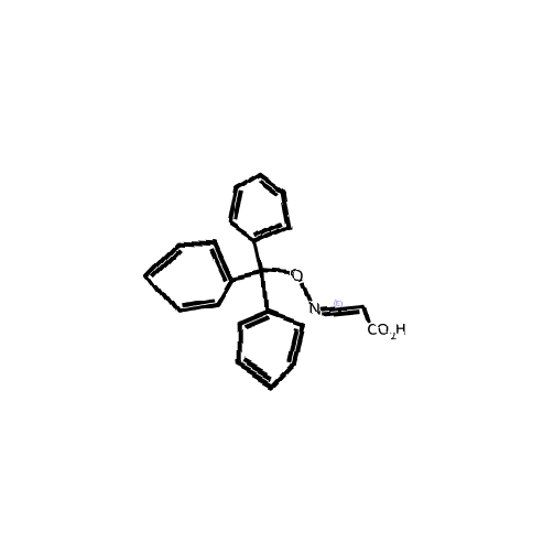 O=C(O)/C=N/OC(c1ccccc1)(c1ccccc1)c1ccccc1